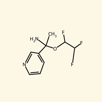 CC(N)(OC(F)C(F)F)c1cccnc1